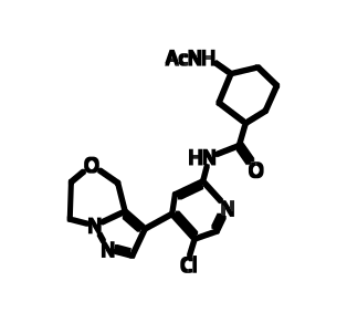 CC(=O)NC1CCCC(C(=O)Nc2cc(-c3cnn4c3COCC4)c(Cl)cn2)C1